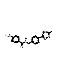 Cc1nnc(-c2ccc(CNC(=O)c3ccc(N)cc3)cc2)nn1